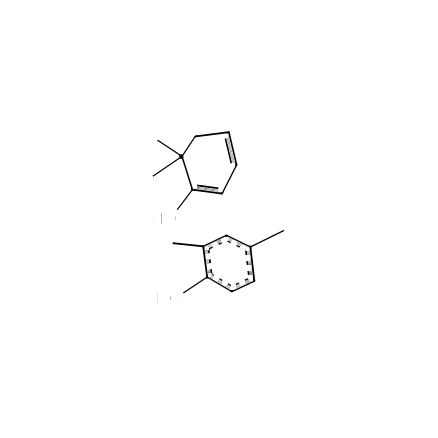 CC1(C)CC=CC=C1O.Cc1ccc(O)c(C)c1